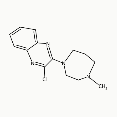 CN1CCCN(c2nc3ccccc3nc2Cl)CC1